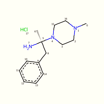 CN1CCN([C@](C)(N)Cc2ccccc2)CC1.Cl